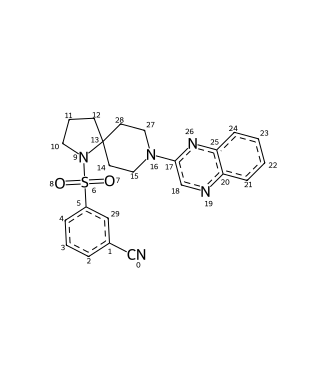 N#Cc1cccc(S(=O)(=O)N2CCCC23CCN(c2cnc4ccccc4n2)CC3)c1